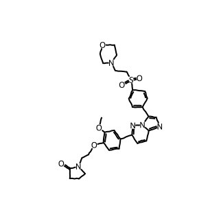 COc1cc(-c2ccc3ncc(-c4ccc(S(=O)(=O)CCN5CCOCC5)cc4)n3n2)ccc1OCCN1CCCC1=O